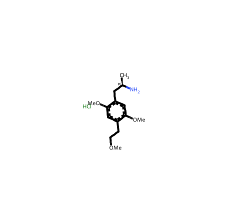 COCCc1cc(OC)c(C[C@@H](C)N)cc1OC.Cl